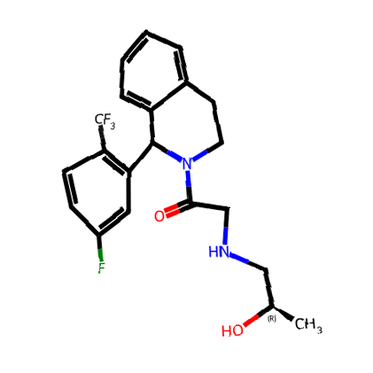 C[C@@H](O)CNCC(=O)N1CCc2ccccc2C1c1cc(F)ccc1C(F)(F)F